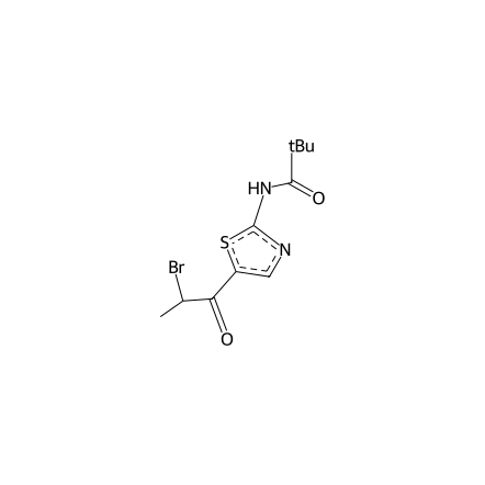 CC(Br)C(=O)c1cnc(NC(=O)C(C)(C)C)s1